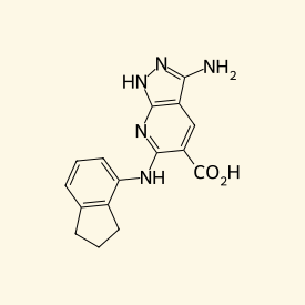 Nc1n[nH]c2nc(Nc3cccc4c3CCC4)c(C(=O)O)cc12